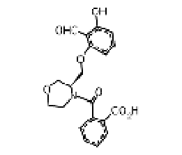 O=Cc1c(O)cccc1OC[C@@H]1COCCN1C(=O)c1ccccc1C(=O)O